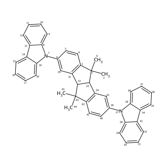 CC1(C)c2ccc(-n3c4ccccc4c4ccccc43)cc2C2C1c1cc(-n3c4ccccc4c4ccccc43)ccc1C2(C)C